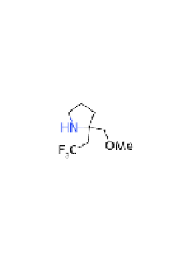 COCC1(CC(F)(F)F)CCCN1